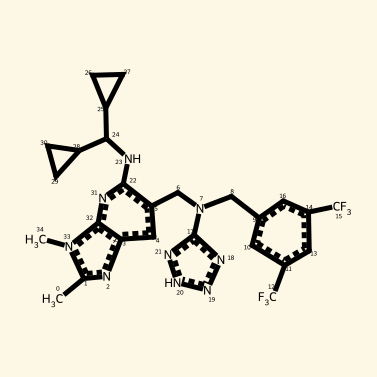 Cc1nc2cc(CN(Cc3cc(C(F)(F)F)cc(C(F)(F)F)c3)c3nn[nH]n3)c(NC(C3CC3)C3CC3)nc2n1C